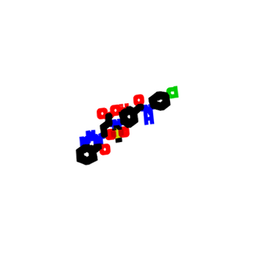 CS(=O)(=O)N(c1ccc(C(=O)Nc2ccc(Cl)cc2)cc1)C(CCn1nnc2ccccc2c1=O)C(=O)O